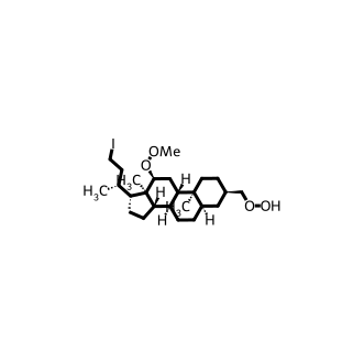 COO[C@H]1C[C@H]2[C@@H](CC[C@@H]3C[C@H](COO)CC[C@@]32C)[C@@H]2CC[C@H]([C@H](C)CCI)[C@@]12C